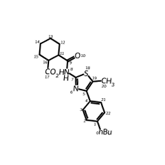 CCCCc1ccc(-c2nc(NC(=O)C3CCCCC3C(=O)O)sc2C)cc1